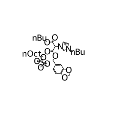 CCCCCCCCOS(=O)(=O)[O-].CCCCOC(=O)C(C(=O)OCc1ccc2c(c1)OCO2)[n+]1ccn(CCCC)c1